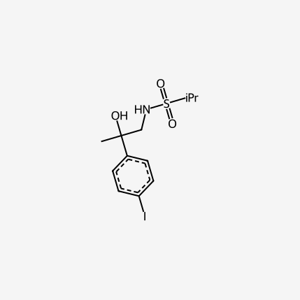 CC(C)S(=O)(=O)NCC(C)(O)c1ccc(I)cc1